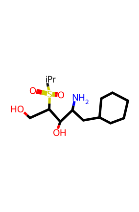 CC(C)S(=O)(=O)C(CO)C(O)C(N)CC1CCCCC1